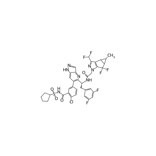 CC1C2c3c(C(F)F)nn(CC(=O)N[C@@H](Cc4cc(F)cc(F)c4)c4nc5cn[nH]c5cc4-c4ccc(Cl)c(C(=O)NS(=O)(=O)C5CCCC5)c4)c3C(F)(F)C12